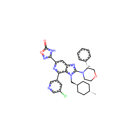 C[C@H]1CC[C@H](Cn2c(N3CCOC[C@H]3c3ccccc3)nc3cc(-c4noc(=O)[nH]4)nc(-c4cncc(Cl)c4)c32)CC1